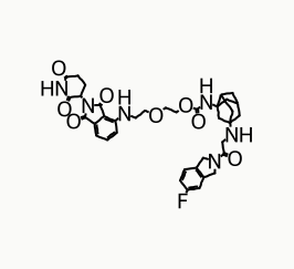 O=C1CCC(N2C(=O)c3cccc(NCCOCCOC(=O)NC45CC6CC4CC(NCC(=O)N4Cc7ccc(F)cc7C4)(C6)C5)c3C2=O)C(=O)N1